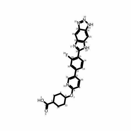 O=C(O)C1CCC(Oc2ccc(-c3ccc(-c4nc5cc6nn[nH]c6cc5[nH]4)c(F)c3)cn2)CC1